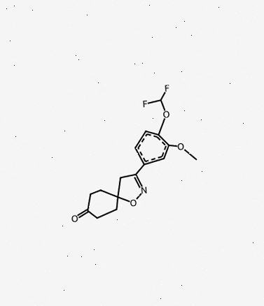 COc1cc(C2=NOC3(CCC(=O)CC3)C2)ccc1OC(F)F